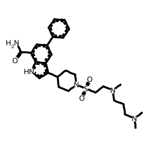 CN(C)CCCN(C)CCS(=O)(=O)N1CCC(c2c[nH]c3c(C(N)=O)cc(-c4ccccc4)cc23)CC1